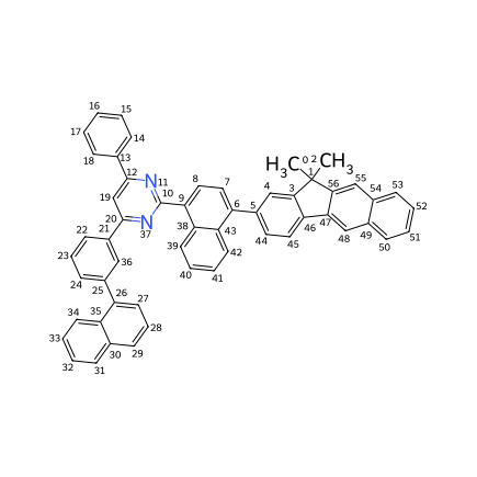 CC1(C)c2cc(-c3ccc(-c4nc(-c5ccccc5)cc(-c5cccc(-c6cccc7ccccc67)c5)n4)c4ccccc34)ccc2-c2cc3ccccc3cc21